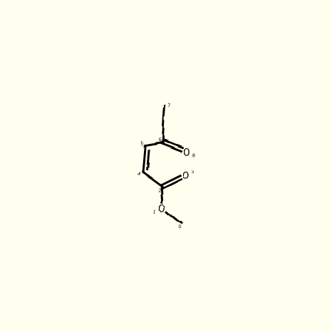 COC(=O)/C=C\C(C)=O